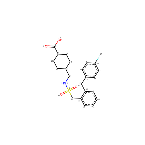 O=C(O)C1CCC(CNS(=O)(=O)Cc2ccccc2Cc2ccc(F)cc2)CC1